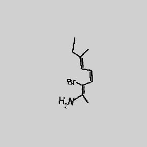 CC/C(C)=C/C=C\C(Br)=C(/C)N